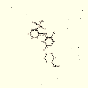 CC(=O)N[C@H]1CC[C@H](Nc2ncc(Br)c(Nc3ccccc3S(=O)(=O)C(C)C)n2)CC1